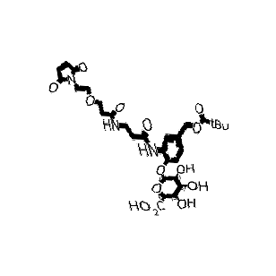 CC(C)(C)C(=O)OCc1ccc(O[C@@H]2O[C@H](C(=O)O)[C@@H](O)[C@H](O)[C@H]2O)c(NC(=O)CCNC(=O)CCOCCN2C(=O)C=CC2=O)c1